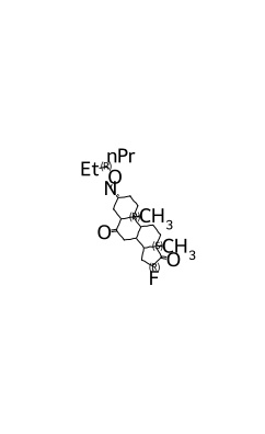 CCC[C@@H](CC)ON=C1CC[C@@]2(C)C(C1)C(=O)CC1C2CC[C@]2(C)C(=O)[C@H](F)CC12